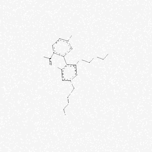 C=C(C)c1ccc(C)cc1-c1c(O)cc(CCCCC)cc1OCOCC